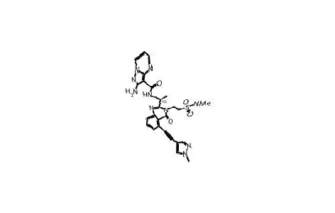 CNS(=O)(=O)CCn1c([C@H](C)NC(=O)c2c(N)nn3cccnc23)nc2cccc(C#Cc3cnn(C)c3)c2c1=O